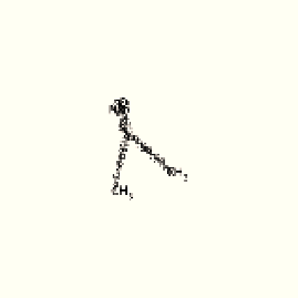 CCCCCCCCCCCCCCCCCCCCN(CCCCCCCCCCCCCCCCCCCC)c1ccc(C=Cc2ccc([N+](=O)[O-])c(C#N)c2)cc1